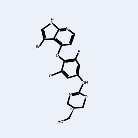 OC[C@H]1CN=C(Nc2cc(F)c(Oc3ccnc4[nH]cc(Br)c34)c(F)c2)OC1